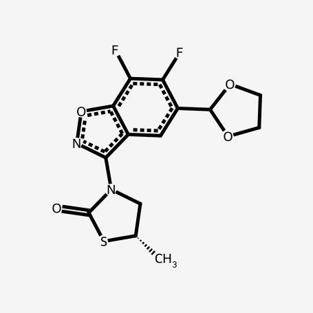 C[C@H]1CN(c2noc3c(F)c(F)c(C4OCCO4)cc23)C(=O)S1